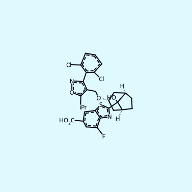 CC(C)c1onc(-c2c(Cl)cccc2Cl)c1CO[C@@H]1C[C@H]2CC[C@@H](C1)[C@]2(O)c1nc2c(F)cc(C(=O)O)cc2s1